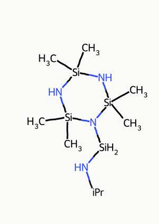 CC(C)N[SiH2]N1[Si](C)(C)N[Si](C)(C)N[Si]1(C)C